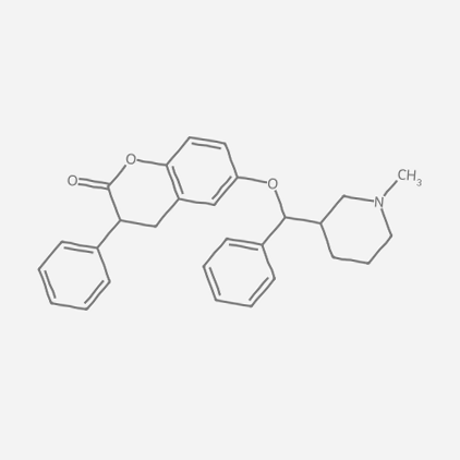 CN1CCCC(C(Oc2ccc3c(c2)CC(c2ccccc2)C(=O)O3)c2ccccc2)C1